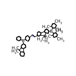 Cc1cc(C)c(B(c2ccc3c(c2)C(C)(C)c2cc(/C=C/c4ccc(B(c5ccccc5)c5ccc6c(c5)C(C)(C)c5ccccc5-6)cc4)ccc2-3)c2c(C)cc(C)cc2C)c(C)c1